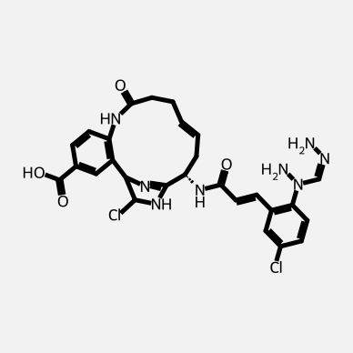 N/N=C\N(N)c1ccc(Cl)cc1/C=C/C(=O)N[C@H]1C/C=C/CCC(=O)Nc2ccc(C(=O)O)cc2C2N=C1NC2Cl